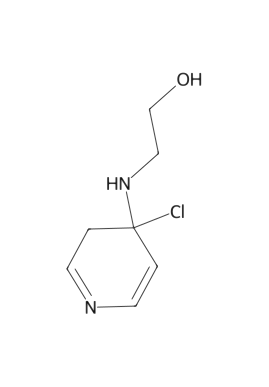 OCCNC1(Cl)C=CN=CC1